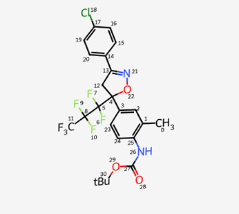 Cc1cc(C2(C(F)(F)C(F)(F)C(F)(F)F)CC(c3ccc(Cl)cc3)=NO2)ccc1NC(=O)OC(C)(C)C